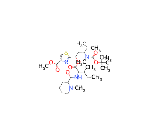 CCC(C)C(NC(=O)C1CCCCN1C)C(=O)OC(CC(C(C)C)N(C)C(=O)OC(C)(C)C)c1nc(C(=O)OC)cs1